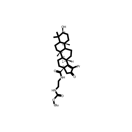 CC(C)C1=C2[C@H]3CCC4[C@@]5(C)CC[C@H](O)C(C)(C)C5CC[C@@]4(C)[C@]3(C)CC[C@@]2(C(=O)NCCNC(=O)OC(C)(C)C)CC1=O